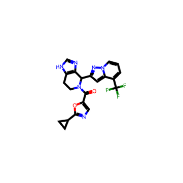 O=C(c1cnc(C2CC2)o1)N1CCc2[nH]cnc2C1c1cc2c(C(F)(F)F)cccn2n1